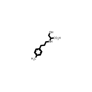 Cc1ccc(CCCNC(CO)C(=O)O)cc1